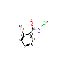 O=C(NCl)c1ccccc1Br